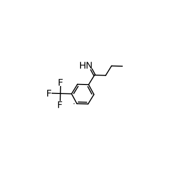 CCCC(=N)c1cc[c]c(C(F)(F)F)c1